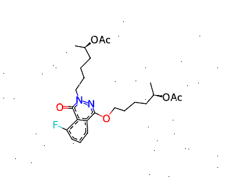 CC(=O)O[C@H](C)CCCCOc1nn(CCCC[C@@H](C)OC(C)=O)c(=O)c2c(F)cccc12